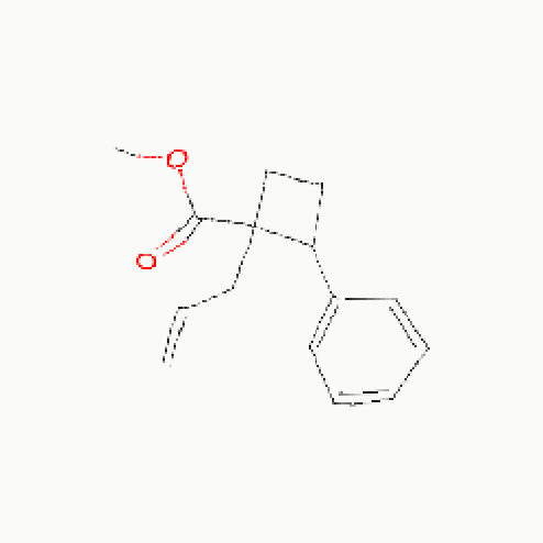 C=CCC1(C(=O)OC)CCC1c1ccccc1